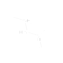 C[SiH2][SiH2][SiH](C)C